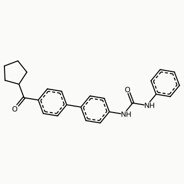 O=C(Nc1ccccc1)Nc1ccc(-c2ccc(C(=O)C3CCCC3)cc2)cc1